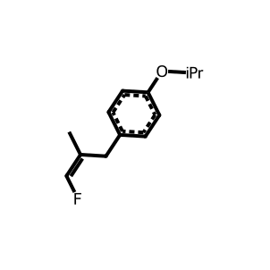 C/C(=C/F)Cc1ccc(OC(C)C)cc1